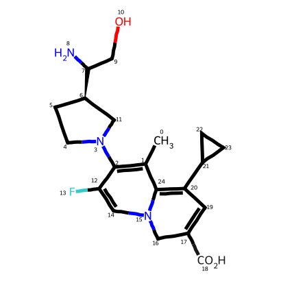 CC1=C(N2CC[C@@H](C(N)CO)C2)C(F)=CN2CC(C(=O)O)=CC(C3CC3)=C12